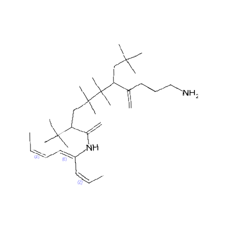 C=C(NC(/C=C\C)=C/C=C\C)C(CC(C)(C)C(C)(C)C(CC(C)(C)C)C(=C)CCCN)C(C)(C)C